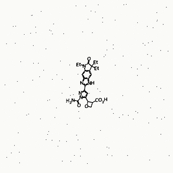 CCN1C(=O)C(CC)(CC)c2cc3[nH]c(-c4[c]c(C5OCC5C(=O)O)n(C(N)=O)n4)nc3cc21